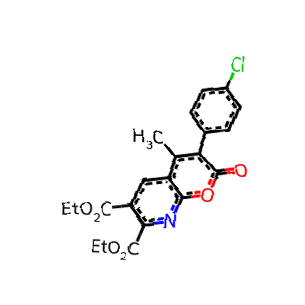 CCOC(=O)c1cc2c(C)c(-c3ccc(Cl)cc3)c(=O)oc2nc1C(=O)OCC